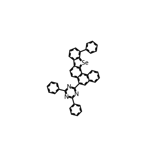 c1ccc(-c2nc(-c3ccccc3)nc(-c3cc4ccccc4c4c3ccc3c5cccc(-c6ccccc6)c5[se]c34)n2)cc1